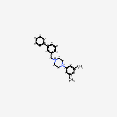 Cc1cc(C)cc(N2CCN(Cc3cccc(-c4ccccc4)c3)CC2)c1